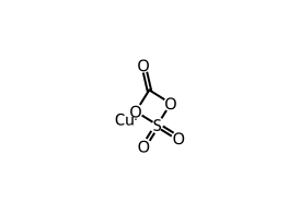 O=C1OS(=O)(=O)O1.[Cu]